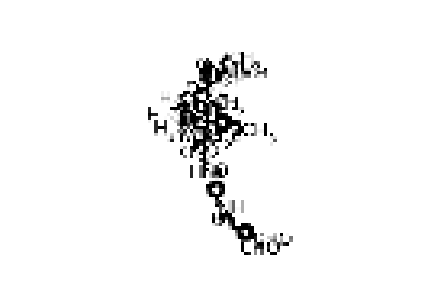 C=C(C)Cc1cc(OC)c(Cl)c(N(C)C(=O)CC(OC(=O)[C@H](C)N(C)C(=O)CCSC2CC(=O)N(CCNC(=O)[C@H]3CC[C@H](CNC(=O)CCc4ccc(C=O)c(C=O)c4)CC3)C2=O)[C@]2(C)OC2[C@H](C)[C@@H]2C[C@](O)([C@@H](/C=C\C)OC)NC(=O)O2)c1